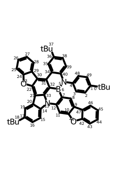 CC(C)(C)c1ccc(N2B3c4cc5c(cc4-n4c6ccc(C(C)(C)C)cc6c6c7oc8ccccc8c7c(c3c64)-c3cc(C(C)(C)C)ccc32)oc2ccccc25)cc1